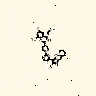 Cc1nn(CC2CCCCO2)c(C)c1-c1nc(N2CCN(C(=O)N[C@@H](CC=N)c3cc(F)cc(C#N)c3)CC2)ncc1F